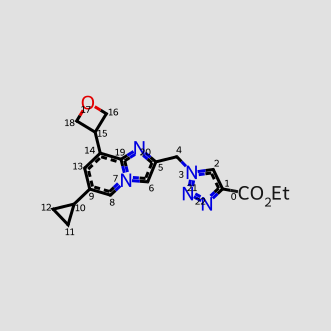 CCOC(=O)c1cn(Cc2cn3cc(C4CC4)cc(C4COC4)c3n2)nn1